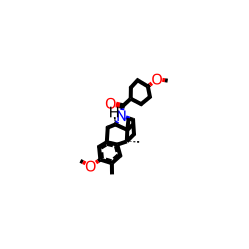 COc1cc2c(cc1C)[C@]1(C)CCN(C(=O)C3CCC(OC)CC3)[C@H](C2)C1(C)C